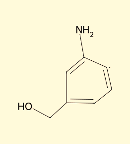 Nc1[c]ccc(CO)c1